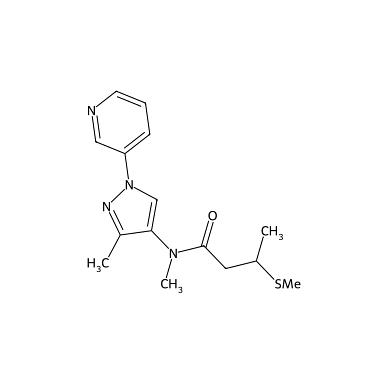 CSC(C)CC(=O)N(C)c1cn(-c2cccnc2)nc1C